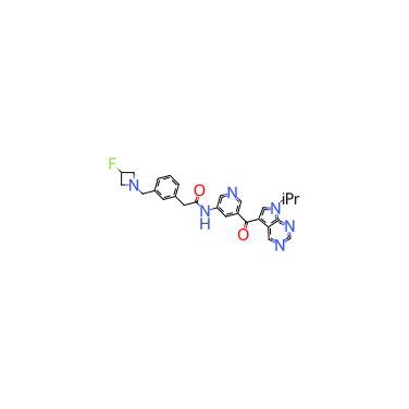 CC(C)n1cc(C(=O)c2cncc(NC(=O)Cc3cccc(CN4CC(F)C4)c3)c2)c2cncnc21